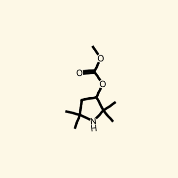 COC(=O)OC1CC(C)(C)NC1(C)C